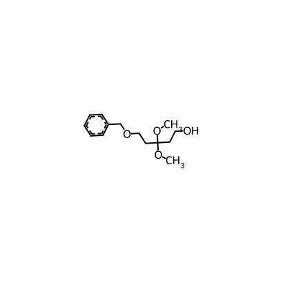 COC(CCO)(CCOCc1ccccc1)OC